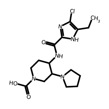 CCc1[nH]c(C(=O)NC2CCN(C(=O)O)CC2N2CCCC2)nc1Cl